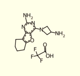 Nc1nc(N2CC(N)C2)c2oc3c(c2n1)CCCC3.O=C(O)C(F)(F)F